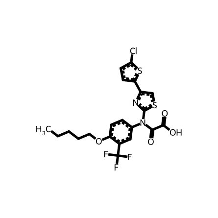 CCCCCOc1ccc(N(C(=O)C(=O)O)c2nc(-c3ccc(Cl)s3)cs2)cc1C(F)(F)F